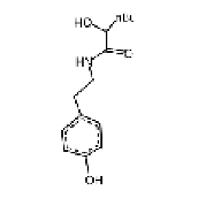 CCCCC(O)C(=O)NCCc1ccc(O)cc1